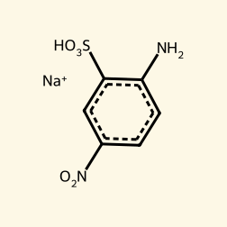 Nc1ccc([N+](=O)[O-])cc1S(=O)(=O)O.[Na+]